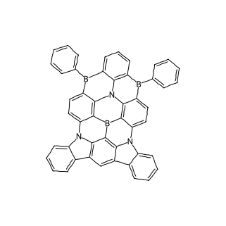 c1ccc(B2c3cccc4c3N3c5c2ccc2c5B5c6c(ccc(c63)B4c3ccccc3)-n3c4ccccc4c4cc6c7ccccc7n-2c6c5c43)cc1